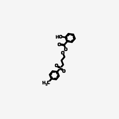 Cc1ccc(S(=O)(=O)CCCOOC(=O)c2ccccc2O)cc1